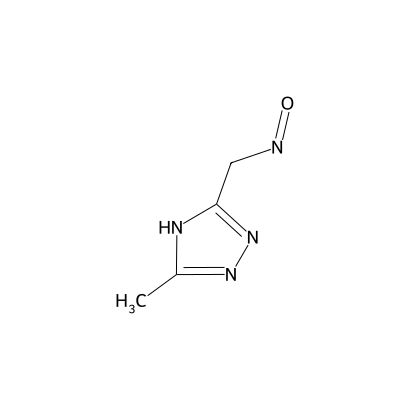 Cc1nnc(CN=O)[nH]1